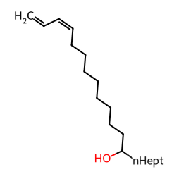 C=C/C=C\CCCCCCCCC(O)CCCCCCC